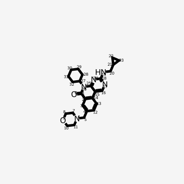 O=c1c2cc(CN3CCOCC3)ccc2c2cnc(NCC3CC3)nc2n1C1CCCCC1